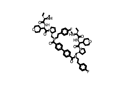 CC[C@H](NC)C(=O)N[C@H](C(=O)N1CCC[C@H]1CN(CCc1ccc(F)cc1)C(=O)c1ccc(-c2ccc(C(=O)N(CCc3ccc(F)cc3)C[C@@H]3CCCN3C(=O)[C@@H](NC(=O)[C@H](CC)NC)C3CCOCC3)cc2)cc1)C1CCOCC1